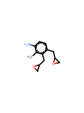 Cc1c(N)ccc(CC2CO2)c1CC1CO1